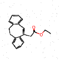 CCOC(=O)CC1=Cc2ccccc2CCc2ccccc21